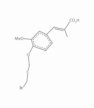 COc1cc(C=C(C)C(=O)O)ccc1OCCCBr